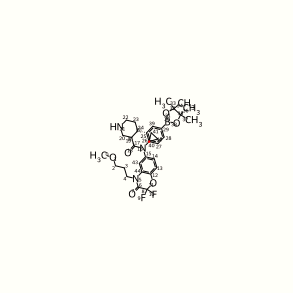 COCCCN1C(=O)C(F)(F)Oc2ccc(N(C(=O)[C@H]3CNCC[C@@H]3c3cccc(B4OC(C)(C)C(C)(C)O4)c3)C3CC3)cc21